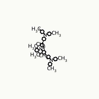 Cc1ccc(N(c2ccc(C)cc2)c2ccc(-c3cc4c5c(c3)c3cc(-c6ccc(N(c7ccc(C)cc7)c7ccc(C)cc7)cc6)cc6c3n5-c3c(cccc3C6(C)C)C4(C)C)cc2)cc1